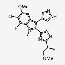 COC[C@H](F)c1nnc(-c2c(-c3cn[nH]c3)c3cc(OC)c(Cl)c(F)c3n2C)[nH]1